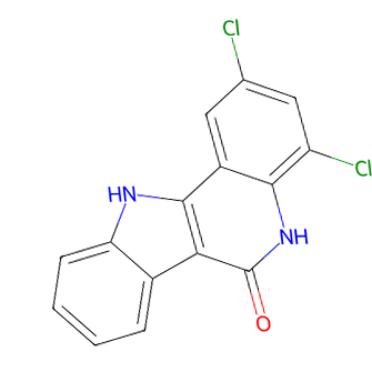 O=c1[nH]c2c(Cl)cc(Cl)cc2c2[nH]c3ccccc3c12